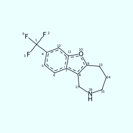 FC(F)(F)c1ccc2c3c(oc2c1)CCCNC3